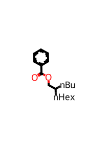 CCCCCCC(CCCC)COC(=O)c1ccccc1